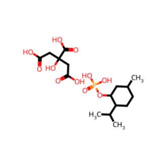 CC1CCC(C(C)C)C(OP(=O)(O)O)C1.O=C(O)CC(O)(CC(=O)O)C(=O)O